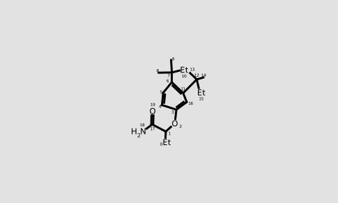 CCC(Oc1ccc(C(C)(C)CC)c(C(C)(C)CC)c1)C(N)=O